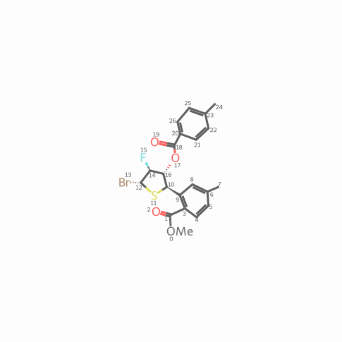 COC(=O)c1ccc(C)cc1[C@H]1S[C@H](Br)[C@@H](F)[C@@H]1OC(=O)c1ccc(C)cc1